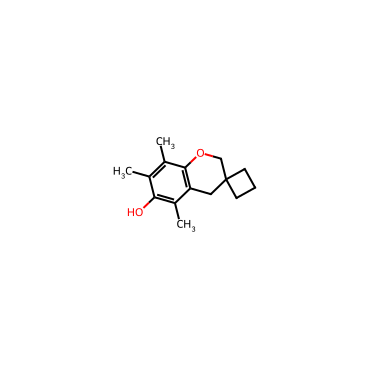 Cc1c(C)c2c(c(C)c1O)CC1(CCC1)CO2